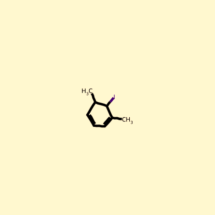 CC1=CC=CC(C)C1I